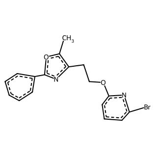 Cc1oc(-c2ccccc2)nc1CCOc1cccc(Br)n1